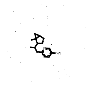 CCCc1ccc(CC(C)C2CCC3CC32C)nc1